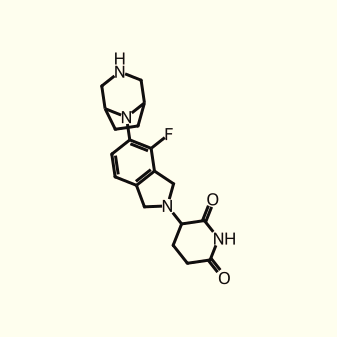 O=C1CCC(N2Cc3ccc(N4C5CCC4CNC5)c(F)c3C2)C(=O)N1